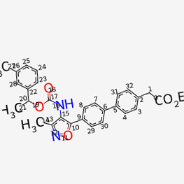 CCOC(=O)Cc1ccc(-c2ccc(-c3onc(C)c3NC(=O)OC(C)c3cccc(C(F)(F)F)c3)cc2)cc1